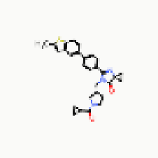 Cc1cc2cc(-c3ccc(C4=NC5(CC5)C(=O)N4C[C@@H]4CCN(C(=O)C5CC5)C4)cc3)ccc2s1